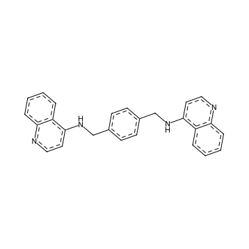 c1ccc2c(NCc3ccc(CNc4ccnc5ccccc45)cc3)ccnc2c1